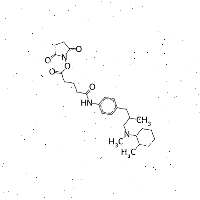 CC(Cc1ccc(NC(=O)CCCC(=O)ON2C(=O)CCC2=O)cc1)CN(C)C1CCCCC1C